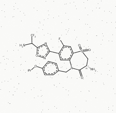 CC(C)Oc1ccc(CN2C(=O)[C@@H](N)CS(=O)(=O)c3cc(F)c(-c4noc(C(N)C(F)(F)F)n4)cc32)cc1